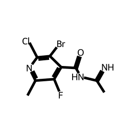 CC(=N)NC(=O)c1c(F)c(C)nc(Cl)c1Br